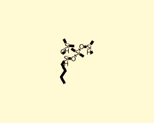 CCCC[SiH](O[SiH](C)C)O[Si](C)(C)O[SiH](C)C